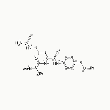 CN[C@H](C(=O)N[C@@H](CCCNC(N)=O)C(=O)Nc1ccc(COC(C)C)cc1)C(C)C